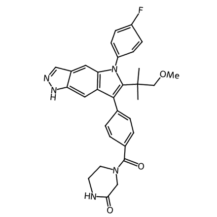 COCC(C)(C)c1c(-c2ccc(C(=O)N3CCNC(=O)C3)cc2)c2cc3[nH]ncc3cc2n1-c1ccc(F)cc1